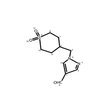 O=Cc1cnn(CC2CCS(=O)(=O)CC2)c1